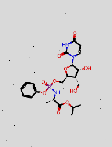 CC(C)OC(=O)[C@H](C)N[P@@](=O)(OC[C@H]1O[C@@H](n2ccc(=O)[nH]c2=O)[C@H](O)[C@@H]1CO)Oc1ccccc1